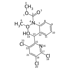 COC(=O)N(OC)c1ccccc1C(O)c1nc(Cl)c(Cl)cc1Cl